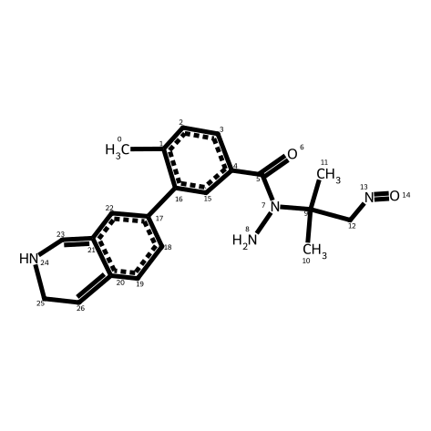 Cc1ccc(C(=O)N(N)C(C)(C)CN=O)cc1-c1ccc2c(c1)=CNCC=2